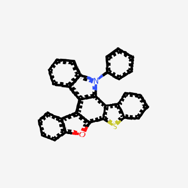 c1ccc(-n2c3ccccc3c3c4c5ccccc5oc4c4sc5ccccc5c4c32)cc1